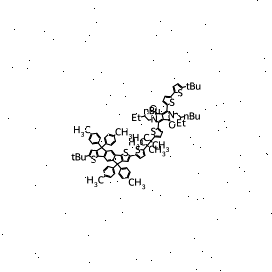 CCCCC(CC)CN1C(=O)C2=C(c3ccc(C(C)(C)C(C)(C)c4ccc(-c5cc6c(s5)-c5cc7c(cc5C6(c5ccc(C)cc5)c5ccc(C)cc5)-c5sc(C(C)(C)C)cc5C7(c5ccc(C)cc5)c5ccc(C)cc5)s4)s3)N(CC(CC)CCCC)C(=O)C2=C1c1ccc(-c2ccc(C(C)(C)C)s2)s1